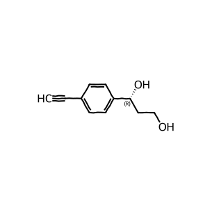 C#Cc1ccc([C@H](O)CCO)cc1